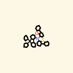 c1ccc(C2(c3ccccc3)c3ccccc3-c3c(N(c4cccc5c4oc4ccccc45)c4cccc5c4sc4ccccc45)cccc32)cc1